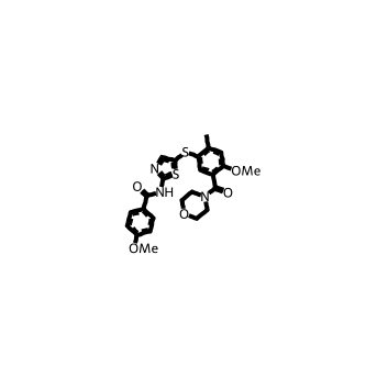 COc1ccc(C(=O)Nc2ncc(Sc3cc(C(=O)N4CCOCC4)c(OC)cc3C)s2)cc1